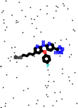 COCCCCc1cnc(Nc2ccc(-c3nnn[nH]3)cn2)c(Oc2ccc(F)cc2)c1